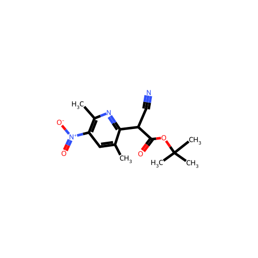 Cc1cc([N+](=O)[O-])c(C)nc1C(C#N)C(=O)OC(C)(C)C